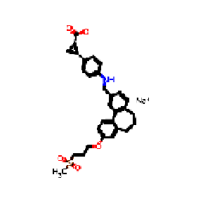 CS(=O)(=O)CCCOc1ccc2c(c1)CCCc1ccc(CNc3ccc([C@H]4C[C@@H]4C(=O)[O-])cc3)cc1-2.[Na+]